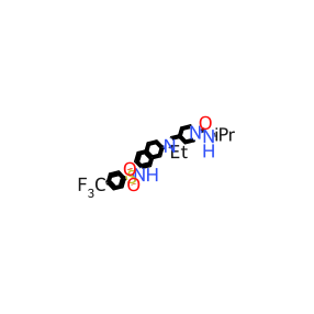 CCN(CC1CCN(C(=O)NC(C)C)CC1)C1CCc2ccc(NS(=O)(=O)c3ccc(C(F)(F)F)cc3)cc2C1